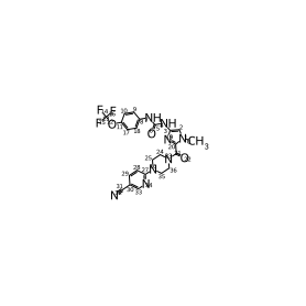 Cn1cc(NC(=O)Nc2ccc(OC(F)(F)F)cc2)nc1C(=O)N1CCN(c2ccc(C#N)cn2)CC1